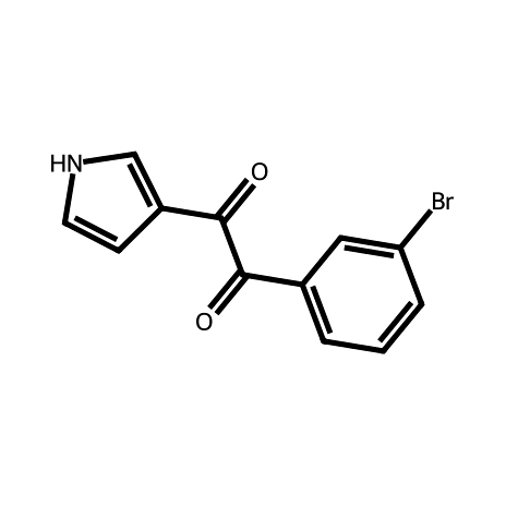 O=C(C(=O)c1cccc(Br)c1)c1cc[nH]c1